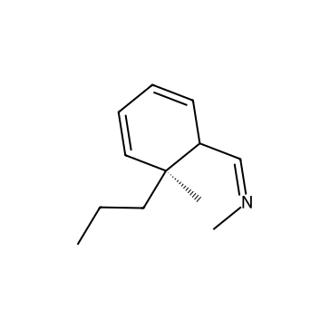 CCC[C@@]1(C)C=CC=CC1/C=N\C